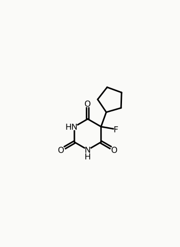 O=C1NC(=O)C(F)(C2CCCC2)C(=O)N1